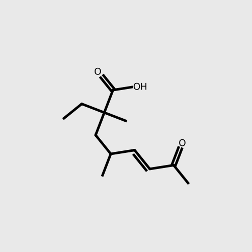 CCC(C)(CC(C)C=CC(C)=O)C(=O)O